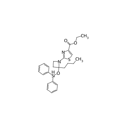 CCCCC1(O[SiH](c2ccccc2)c2ccccc2)CCN1c1nc(C(=O)OCC)cs1